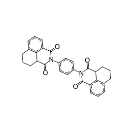 O=C1c2cccc3c2C(CCC3)C(=O)N1c1ccc(N2C(=O)c3cccc4c3C(CCC4)C2=O)cc1